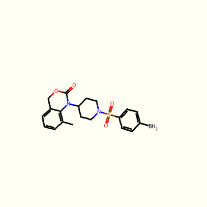 Bc1ccc(S(=O)(=O)N2CCC(N3C(=O)OCc4cccc(C)c43)CC2)cc1